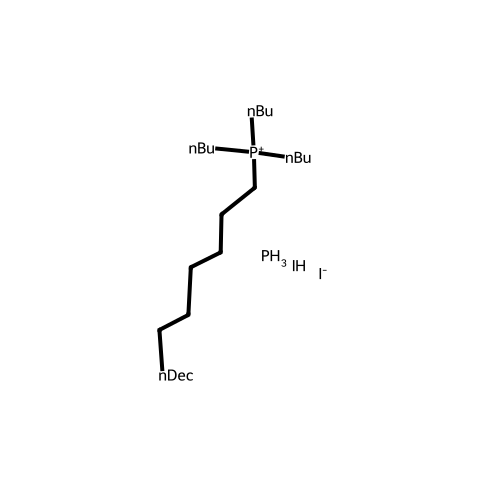 CCCCCCCCCCCCCCCC[P+](CCCC)(CCCC)CCCC.I.P.[I-]